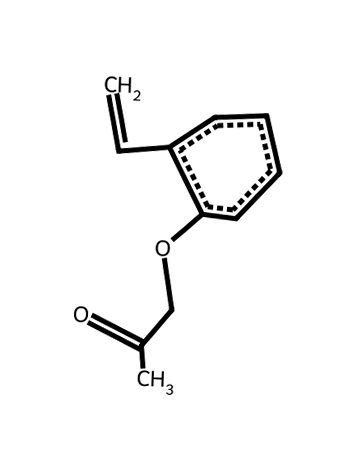 C=Cc1ccccc1OCC(C)=O